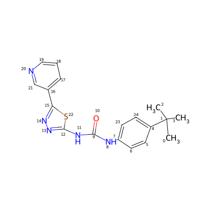 CC(C)(C)c1ccc(NC(=O)Nc2nnc(-c3cccnc3)s2)cc1